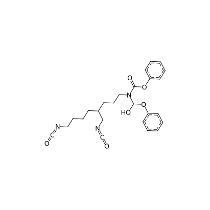 O=C=NCCCCC(CCCN(C(=O)Oc1ccccc1)C(O)Oc1ccccc1)CN=C=O